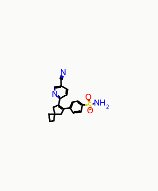 N#Cc1ccc(C2=C(c3ccc(S(N)(=O)=O)cc3)CC3(CCC3)C2)nc1